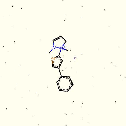 CN1C=CC[N+]1(C)c1cc(-c2ccccc2)cs1.[I-]